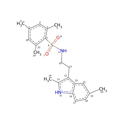 Cc1cc(C)c(S(=O)(=O)NCCc2c(C)[nH]c3ccc(C)cc23)c(C)c1